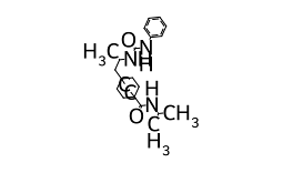 CC(C)NC(=O)C12CCC(CC(C)NC(=O)Nc3ccccc3)(CC1)CC2